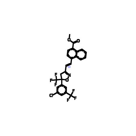 COC(=O)c1ccc(/C=C/C2=NOC(c3cc(Cl)cc(C(F)(F)F)c3)(C(F)(F)F)C2)c2ccccc12